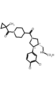 CC1(C(=O)N2CCC(C(=O)N3C[C@H](CNC(=O)O)[C@@H](c4ccc(Cl)c(Cl)c4)C3)CC2)CC1